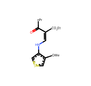 CCCC(=O)C(=CNc1cscc1OC)C(=O)OCC